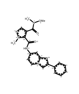 CON(C)C(=O)c1cnn(C)c1C(=O)Nc1ccn2cc(-c3ccccc3)nc2c1